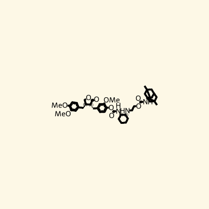 COc1ccc(C[C@H]2COC(=O)[C@@H]2Cc2ccc(OC(=O)N[C@@H]3CCCC[C@H]3NCCOC(=O)NC34CC5CC(C)(CC(C)(C5)C3)C4)c(OC)c2)cc1OC